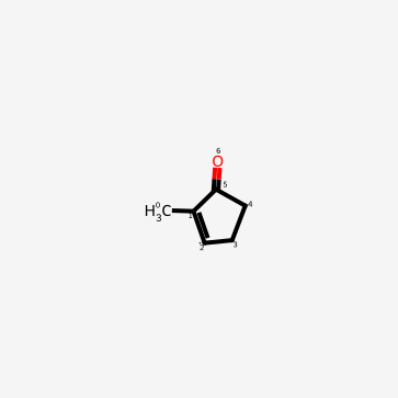 CC1=[C]CCC1=O